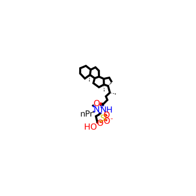 CCC[N+](C)(C)C(CCO)(NC(=O)CC[C@@H](C)[C@H]1CCC2C3CCC4CCCC[C@]4(C)C3CC[C@@]21C)S(=O)(=O)[O-]